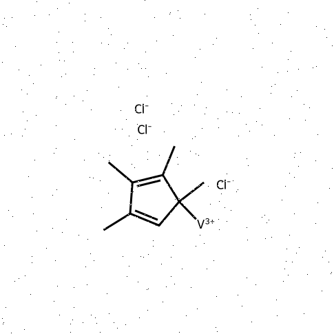 CC1=C[C](C)([V+3])C(C)=C1C.[Cl-].[Cl-].[Cl-]